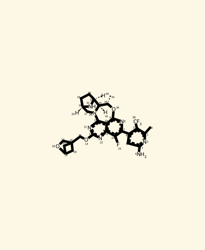 Cc1nc(N)cc(-c2nc3c4c(nc(OCC56COC(C5)C6)nc4c2F)N2C[C@H]4CC[C@H](N4)[C@H]2[C@H](C)O3)c1C(F)(F)F